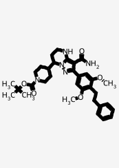 COc1cc(-c2nn3c(c2C(N)=O)NCCC3C2CCN(C(=O)OC(C)(C)C)CC2)cc(OC)c1CCc1ccccc1